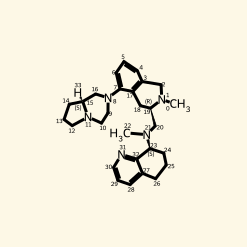 CN1Cc2cccc(N3CCN4CCC[C@H]4C3)c2C[C@@H]1CN(C)[C@H]1CCCc2cccnc21